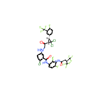 O=C(CC(C(F)(F)F)C(F)(F)F)Nc1c(F)ccc(NC(=O)c2cc(NCC(=O)[C@H]3[C@H](c4ccc(F)c(C(F)(F)F)c4)C3(Cl)Cl)ccc2Cl)c1F